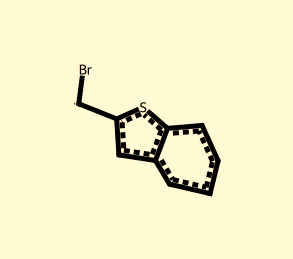 Br[CH]c1cc2ccccc2s1